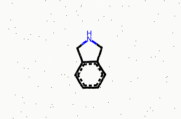 [c]1ccc2c(c1)CNC2